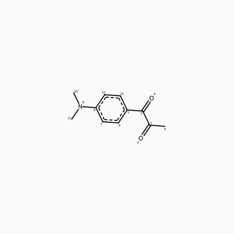 CC(=O)C(=O)c1ccc(N(C)C)cc1